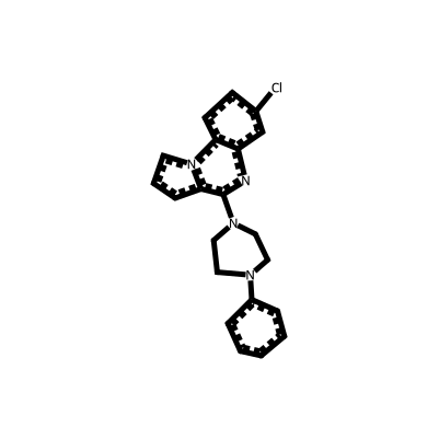 Clc1ccc2c(c1)nc(N1CCN(c3ccccc3)CC1)c1cccn12